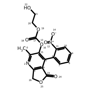 Cc1nc2c(c(-c3ccccc3[N+](=O)[O-])c1OC(=O)OCCO)C(=O)OC2